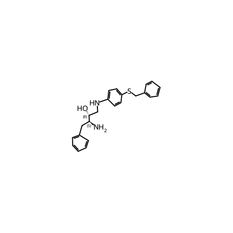 N[C@@H](Cc1ccccc1)[C@H](O)CNc1ccc(SCc2ccccc2)cc1